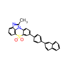 Cc1nc2cccc3c2n1-c1ccc(-c2ccc(-c4ccc5ccccc5c4)cc2)cc1S3(=O)=O